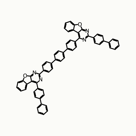 c1ccc(-c2ccc(-c3nc(-c4ccc(-c5ccc(-c6ccc(-c7nc(-c8ccc(-c9ccccc9)cc8)c8c(n7)oc7ccccc78)cc6)cc5)cc4)c4c(n3)oc3ccccc34)cc2)cc1